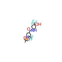 CC(C)(C)S(=O)(=O)N1CCC(C(=O)N[C@H]2CC[C@@](O)(C(F)(F)F)CC2)C[C@H]1C(F)(F)F